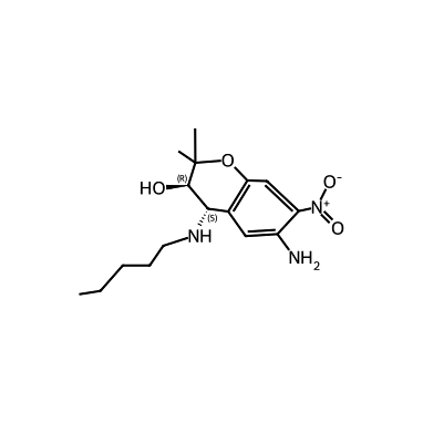 CCCCCN[C@H]1c2cc(N)c([N+](=O)[O-])cc2OC(C)(C)[C@@H]1O